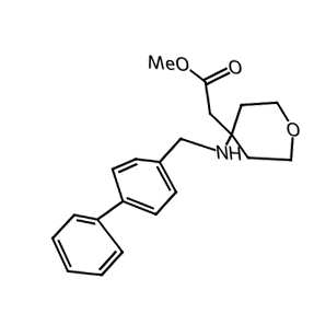 COC(=O)CC1(NCc2ccc(-c3ccccc3)cc2)CCOCC1